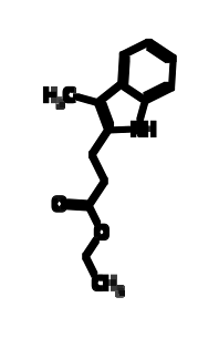 CCOC(=O)CCc1[nH]c2ccccc2c1C